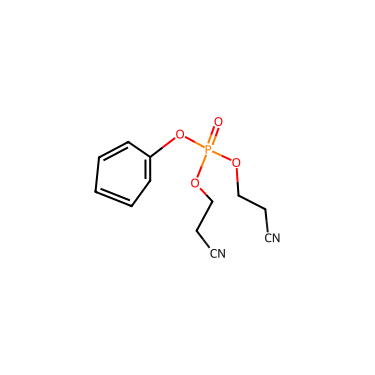 N#CCCOP(=O)(OCCC#N)Oc1ccccc1